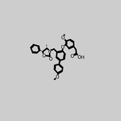 COc1ccc(-c2ccc(Oc3cc(CC(=O)O)ccc3OC)c(CN3C(=O)O[C@H](c4ccccc4)[C@@H]3C)c2)cc1